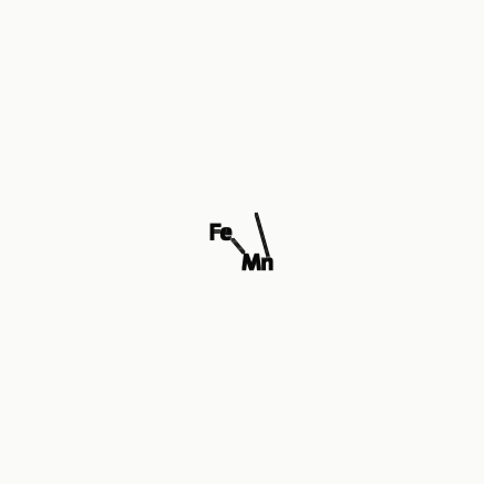 CC.[Mn][Fe]